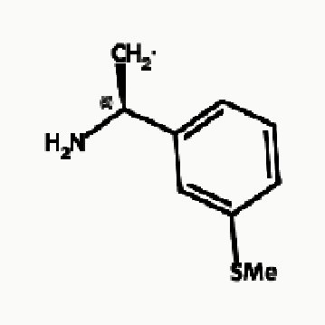 [CH2][C@H](N)c1cccc(SC)c1